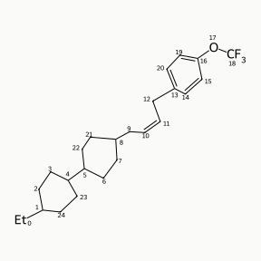 CCC1CCC(C2CCC(C/C=C\Cc3ccc(OC(F)(F)F)cc3)CC2)CC1